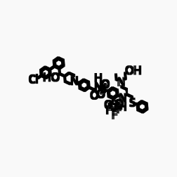 CCN(CCO)CC[C@@H](CSc1ccccc1)Nc1ccc(S(=O)(=O)NC(=O)c2ccc(N3CCC(C(O)c4ccccc4-c4ccc(Cl)cc4)CC3)cc2)cc1S(=O)(=O)C(F)(F)F